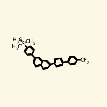 C[Si](C)(C)c1ccc(-c2ccc3ccc(-c4ccc(-c5ccc(C(F)(F)F)cc5)cc4)cc3c2)cc1